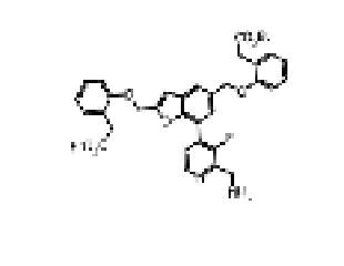 CCOC(=O)Cc1ccccc1OCc1cc(-c2ccnc(CN)c2F)c2oc(COc3ccccc3CC(=O)OCC)cc2c1